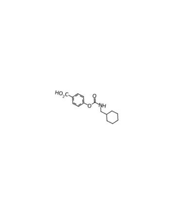 O=C(NCC1CCCCC1)Oc1ccc(C(=O)O)cc1